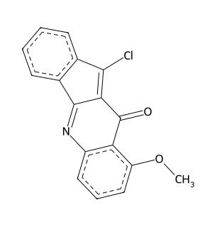 COc1cccc2c1C(=O)C1=C(Cl)c3ccccc3C1=N2